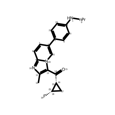 CCCNc1ccc(-c2ccc3nc(C)c(C(=O)[C@@H]4C[C@@H]4F)n3c2)cc1